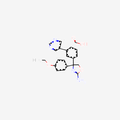 CCOc1ccc(C2(c3cccc(-c4cncnc4)c3)COC(N)=N2)cc1.O=CO